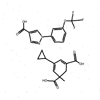 CC1(C(=O)O)C=C(C2CC2)C=C(C(=O)O)C1.O=C(O)c1cnn(-c2cccc(OC(F)(F)F)c2)c1